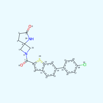 O=C1CCC2(CN(C(=O)c3cc4ccc(-c5ccc(Cl)cc5)cc4s3)C2)N1